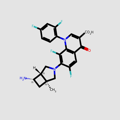 C[C@]12C[C@H](N)[C@@H]1CN(c1c(F)cc3c(=O)c(C(=O)O)cn(-c4ccc(F)cc4F)c3c1F)C2